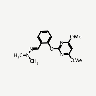 COc1cc(OC)nc(Oc2ccccc2/C=N/N(C)C)n1